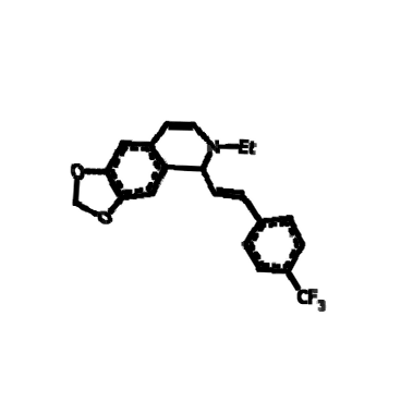 CCN1C=Cc2cc3c(cc2C1/C=C/c1ccc(C(F)(F)F)cc1)OCO3